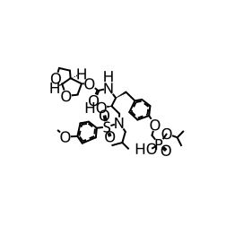 COc1ccc(S(=O)(=O)N(CC(C)C)C[C@@H](O)[C@H](Cc2ccc(OCP(=O)(O)OC(C)C)cc2)NC(=O)O[C@H]2CO[C@H]3OCC[C@H]32)cc1